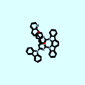 c1ccc(-c2cc(-n3c4ccccc4c4ccccc43)nc(-n3c4ccccc4c4ccc5c6ccccc6n(-c6cccc(-c7ccc8cccnc8c7)n6)c5c43)n2)cc1